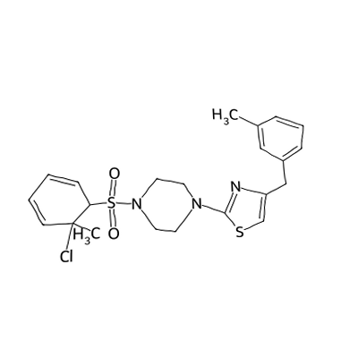 Cc1cccc(Cc2csc(N3CCN(S(=O)(=O)C4C=CC=CC4(C)Cl)CC3)n2)c1